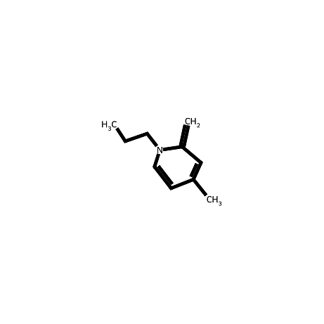 C=C1C=C(C)C=CN1CCC